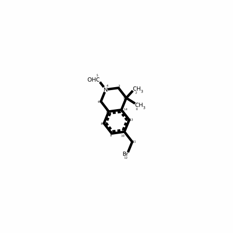 CC1(C)CN(C=O)Cc2ccc(CBr)cc21